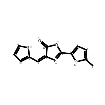 Cc1ccc(C2=N/C(=C/c3cccs3)C(=O)O2)s1